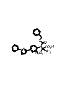 Cc1cc(-c2ccn(-c3ccccc3)n2)ccc1N(C(=O)OCc1ccccc1)C(C)(N)C(=O)O